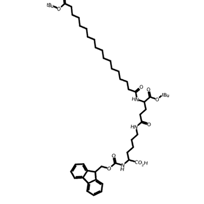 CC(C)(C)OC(=O)CCCCCCCCCCCCCCCCC(=O)NC(CCC(=O)NCCCCC(NC(=O)OCC1c2ccccc2-c2ccccc21)C(=O)O)C(=O)OC(C)(C)C